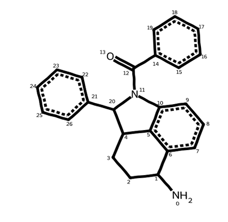 NC1CCC2c3c1cccc3N(C(=O)c1ccccc1)C2c1ccccc1